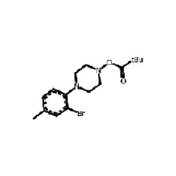 Cc1ccc(N2CCN(OC(=O)C(C)(C)C)CC2)c(Br)c1